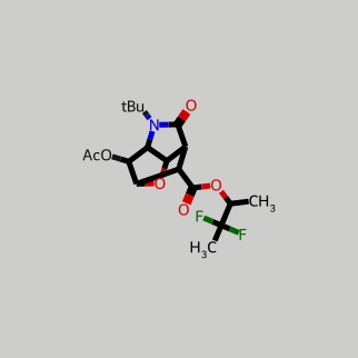 CC(=O)OC1C2OC3C(C(=O)N(C(C)(C)C)C13)C2C(=O)OC(C)C(C)(F)F